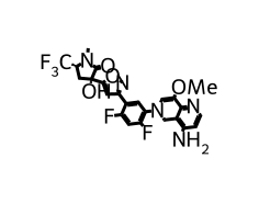 COC1=CN(c2cc(-c3cc([C@]4(O)C[C@@H](C(F)(F)F)N(C)C4=O)on3)c(F)cc2F)Cc2c(N)ccnc21